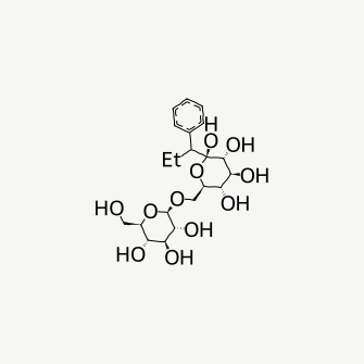 CCC(c1ccccc1)[C@@]1(O)O[C@H](CO[C@@H]2O[C@H](CO)[C@@H](O)[C@H](O)[C@H]2O)[C@@H](O)[C@H](O)[C@H]1O